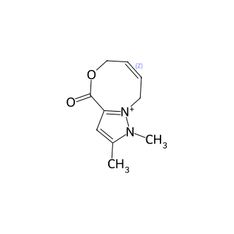 Cc1cc2[n+](n1C)C/C=C\COC2=O